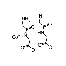 NCC(=O)NCC(=O)[O-].NCC(=O)NCC(=O)[O-].[Co+2]